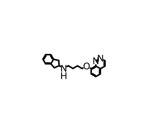 c1ccc2c(c1)CC(NCCCCOc1cccc3ccnnc13)C2